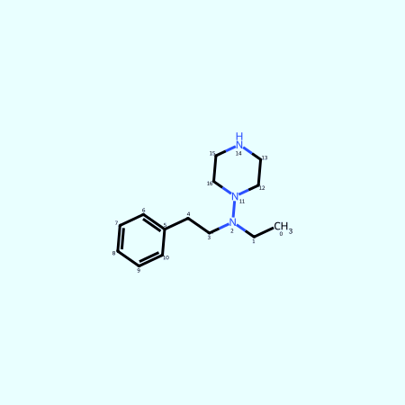 CCN([CH]Cc1ccccc1)N1CCNCC1